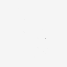 Cc1noc([C@H](Cc2ccccc2)NC(=O)c2ccn(CCN3CCOCC3)c2C)n1